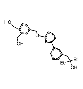 CCC(O)(CC)Cc1cccc(-c2cccc(OCc3ccc(CO)c(CO)c3)c2)c1